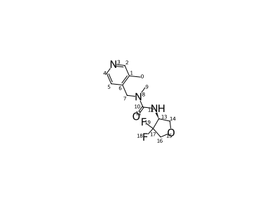 Cc1cnccc1CN(C)C(=O)N[C@H]1COCC1(F)F